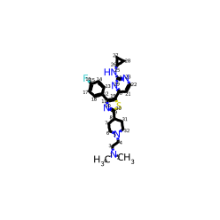 CN(C)CCN1CCC(c2nc(-c3ccc(F)cc3)c(-c3ccnc(NC4CC4)n3)s2)CC1